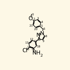 COc1ccc(Cn2ccc(-c3ccc(Cl)c(N)c3)n2)cc1